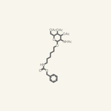 CC(=O)NC1C(OCCCCCCNC(=O)OCc2ccccc2)OC(COC(C)=O)C(OC(C)=O)C1OC(C)=O